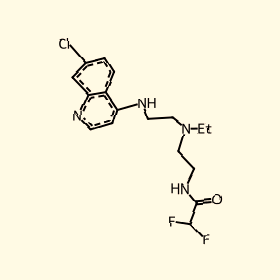 CCN(CCNC(=O)C(F)F)CCNc1ccnc2cc(Cl)ccc12